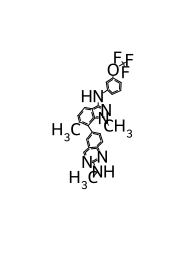 CNc1ncc2cc(-c3c(C)ccc4c(Nc5cccc(OC(F)(F)F)c5)nn(C)c34)ccc2n1